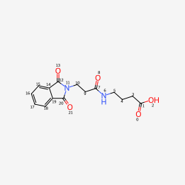 O=C(O)CCCNC(=O)CCN1C(=O)c2ccccc2C1=O